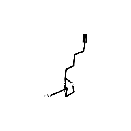 C#CCCCCC12OC(CCCC)C(CS1)CS2